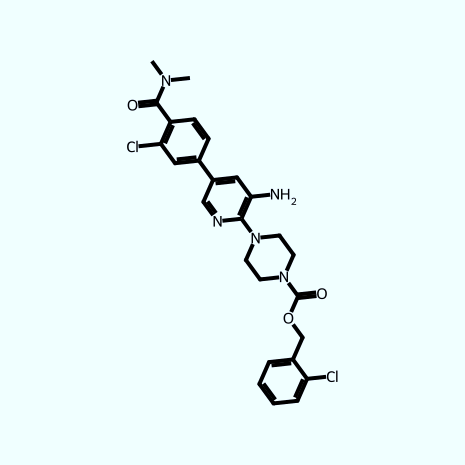 CN(C)C(=O)c1ccc(-c2cnc(N3CCN(C(=O)OCc4ccccc4Cl)CC3)c(N)c2)cc1Cl